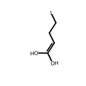 OC(O)=CCCI